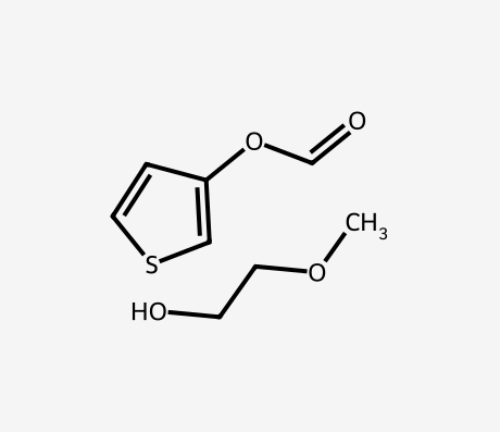 COCCO.O=COc1ccsc1